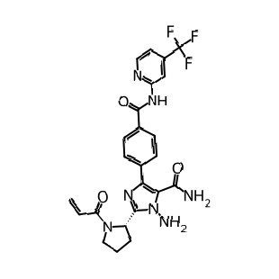 C=CC(=O)N1CCC[C@H]1c1nc(-c2ccc(C(=O)Nc3cc(C(F)(F)F)ccn3)cc2)c(C(N)=O)n1N